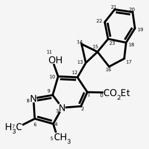 CCOC(=O)c1cn2c(C)c(C)nc2c(O)c1C1CC12CCc1ccccc12